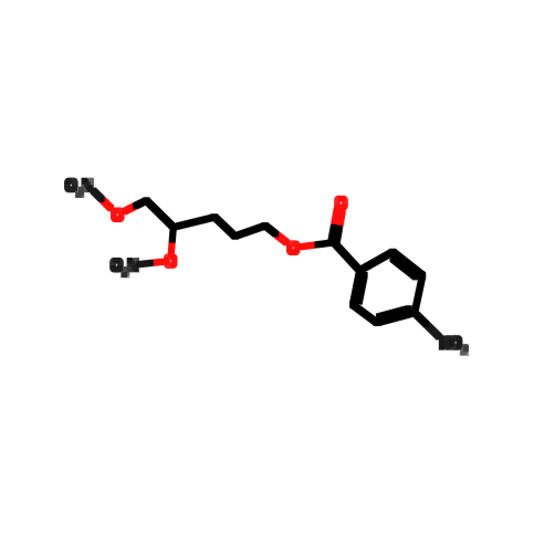 O=C(OCCCC(CO[N+](=O)[O-])O[N+](=O)[O-])c1ccc([N+](=O)[O-])cc1